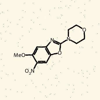 COc1cc2nc(N3CCOCC3)oc2cc1[N+](=O)[O-]